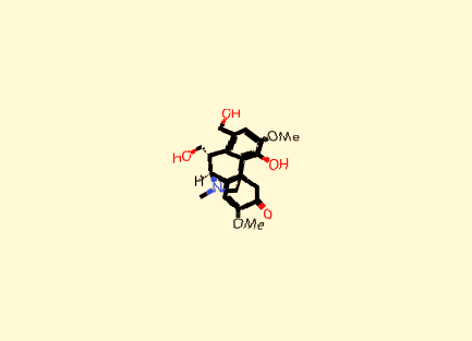 COC1=CC2[C@@H]3[C@H](CO)c4c(CO)cc(OC)c(O)c4[C@]2(CCN3C)CC1=O